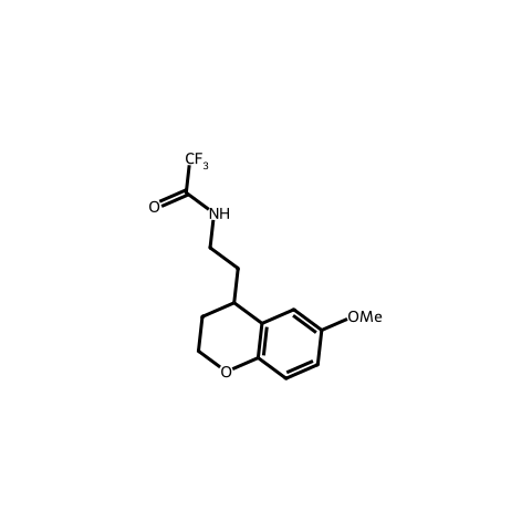 COc1ccc2c(c1)C(CCNC(=O)C(F)(F)F)CCO2